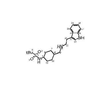 CC(C)(C)S(=O)(=O)NC1CCC(CNCCc2c[nH]c3ccccc23)CC1